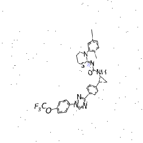 Cc1ccc(C)c(N2CCCS/C2=N\C(=O)NC2CC2c2ccc(-c3ncn(-c4ccc(OC(F)(F)F)cc4)n3)cc2)c1